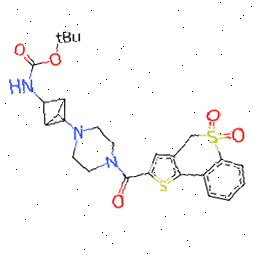 CC(C)(C)OC(=O)NC1C2CC1C2N1CCN(C(=O)c2cc3c(s2)-c2ccccc2S(=O)(=O)C3)CC1